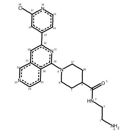 NCCNC(=O)C1CCN(c2nc(-c3ccnc(Cl)c3)cc3cnccc23)CC1